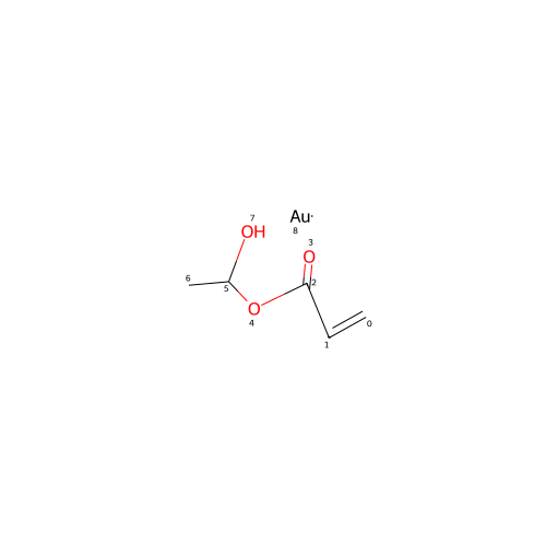 C=CC(=O)OC(C)O.[Au]